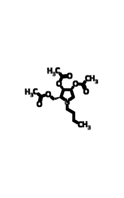 CCCCN1C[C@H](OC(C)=O)[C@H](OC(C)=O)[C@H]1COC(C)=O